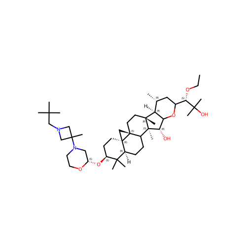 CCO[C@@H](C1C[C@@H](C)[C@H]2C(O1)[C@H](O)[C@@]1(C)C3CC[C@H]4C(C)(C)[C@@H](O[C@H]5CN(C6(C)CN(CC(C)(C)C)C6)CCO5)CC[C@@]45C[C@@]35CC[C@]21C)C(C)(C)O